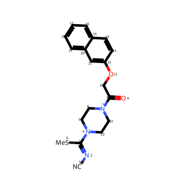 CS/C(=N\C#N)N1CCN(C(=O)COc2ccc3ccccc3c2)CC1